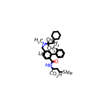 CSCC[C@H](NC(=O)c1ccc(CN(C)C(C)(C)CC2CCCCC2)cc1-c1ccccc1C)C(=O)O.[LiH]